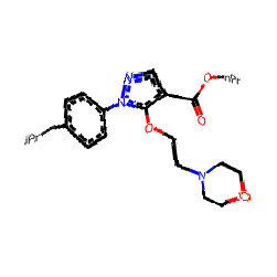 CCCOC(=O)c1cnn(-c2ccc(C(C)C)cc2)c1OCCN1CCOCC1